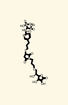 O=C1OC([C@@H](O)COCCCN2C(=O)CC(SCCCc3ccc(NC(P(=O)(O)O)P(=O)(O)O)nc3)C2=O)C(O)=C1O